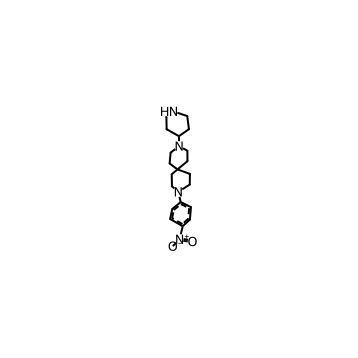 O=[N+]([O-])c1ccc(N2CCC3(CC2)CCN(C2CCNCC2)CC3)cc1